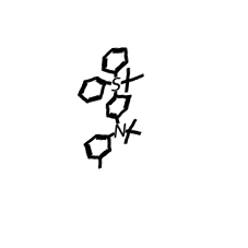 Cc1cccc(N(c2ccc(S(c3ccccc3)(c3ccccc3)C(C)(C)C)cc2)C(C)(C)C)c1